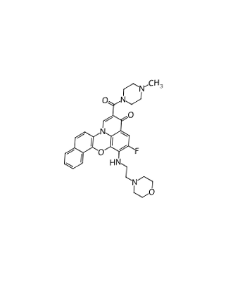 CN1CCN(C(=O)c2cn3c4c(c(NCCN5CCOCC5)c(F)cc4c2=O)Oc2c-3ccc3ccccc23)CC1